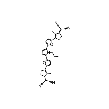 CCCn1c(-c2ccc(C3=C(C)C(=C(C#N)C#N)CC3)o2)ccc1-c1ccc(C2=C(C)C(C(C#N)C#N)CC2)o1